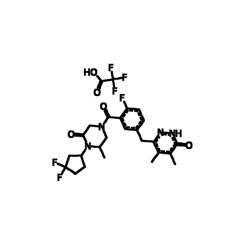 Cc1c(Cc2ccc(F)c(C(=O)N3CC(=O)N(C4CCC(F)(F)C4)C(C)C3)c2)n[nH]c(=O)c1C.O=C(O)C(F)(F)F